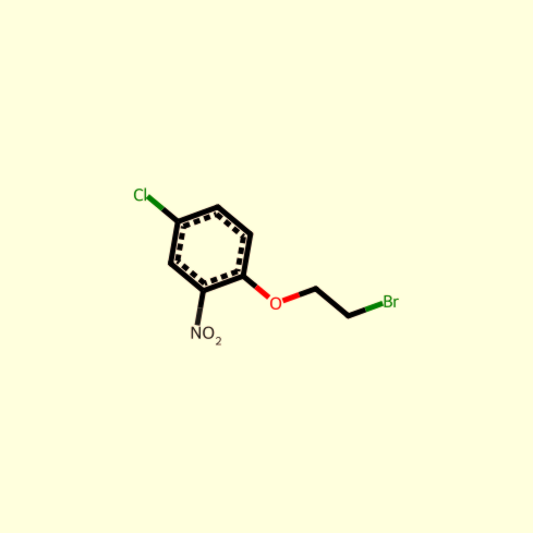 O=[N+]([O-])c1cc(Cl)ccc1OCCBr